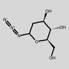 [N-]=[N+]=NC1C[C@@H](O)[C@H](O)[C@@H](CO)O1